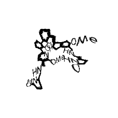 COc1cc2c(cc1CNCC1CCC(=O)N1)CCC2=Cc1cccc(-c2cccc(-c3ccc(CNCC4CCC(=O)N4)c(OC)n3)c2Cl)c1Cl